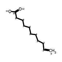 C=CCCCCCCCCC([O])=O